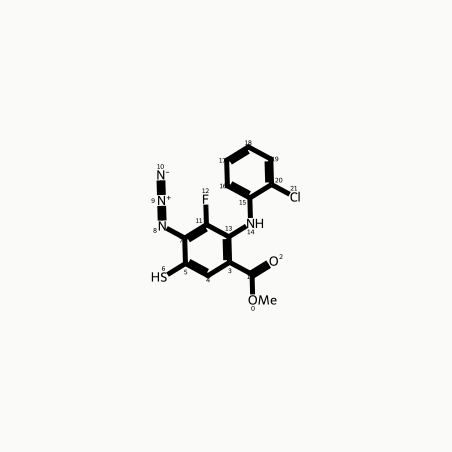 COC(=O)c1cc(S)c(N=[N+]=[N-])c(F)c1Nc1ccccc1Cl